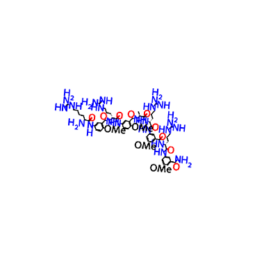 COc1ccc(NC(=O)[C@@H](CCCNC(=N)N)NC(=O)c2cc(NC(=O)[C@@H](CCCNC(=N)N)NC(=O)[C@H](C)NC(=O)c3cc(NC(=O)[C@@H](CCCNC(=N)N)NC(=O)c4cc(NC(=O)[C@H](N)CCCCNC(=N)N)ccc4OC)ccc3OC)ccc2OC)cc1C(N)=O